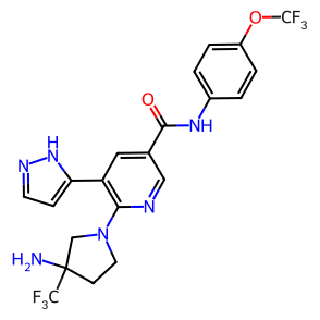 NC1(C(F)(F)F)CCN(c2ncc(C(=O)Nc3ccc(OC(F)(F)F)cc3)cc2-c2ccn[nH]2)C1